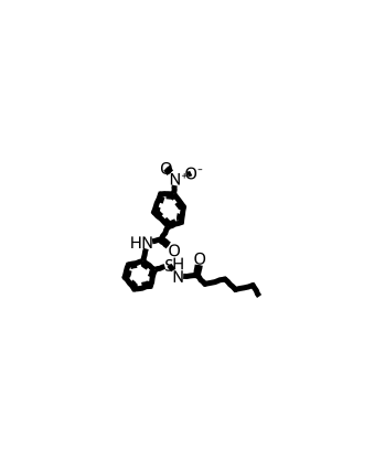 CCCCCC(=O)NSc1ccccc1NC(=O)c1ccc([N+](=O)[O-])cc1